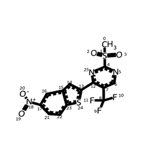 CS(=O)(=O)c1ncc(C(F)(F)F)c(-c2cc3cc([N+](=O)[O-])ccc3s2)n1